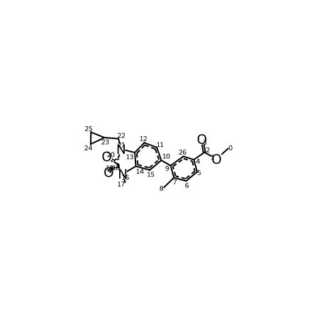 COC(=O)c1ccc(C)c(-c2ccc3c(c2)N(C)S(=O)(=O)N3CC2CC2)c1